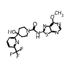 COc1ncnc2sc(NC(=O)N3CCC(O)(c4cccc(C(F)(F)F)n4)CC3)nc12